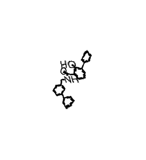 O=C(NCc1cccc(-c2ccccc2)c1)c1cccc(-c2ccccc2)c1O